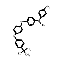 CCC(C)(C)c1ccc(Nc2ccc(Nc3ccc(N(C)c4ccc(N)cc4)cc3)cc2)cc1